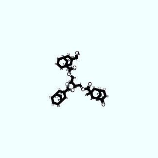 CC1(C(=O)OCC2OC(C3CC4CCCC(C4)C3)OC2COC(=O)C23CCCC(CC(C=O)C2)C3)CC2CCC(=O)C(C2)C1